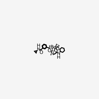 CN(CC(=O)N[C@@H]1CCCC[C@H]1O[Si](C)(C)C(C)(C)C)C(=O)OCc1cccc(C(=O)NC2CC2)c1